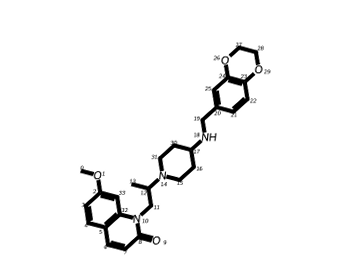 COc1ccc2ccc(=O)n(CC(C)N3CCC(NCc4ccc5c(c4)OCCO5)CC3)c2c1